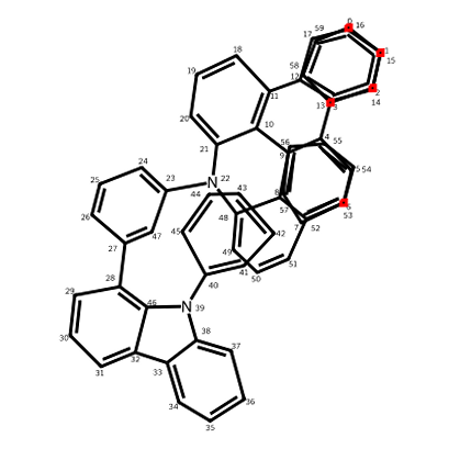 c1ccc(-c2ccccc2-c2c(-c3ccccc3)cccc2N(c2cccc(-c3cccc4c5ccccc5n(-c5ccccc5)c34)c2)c2cccc3ccccc23)cc1